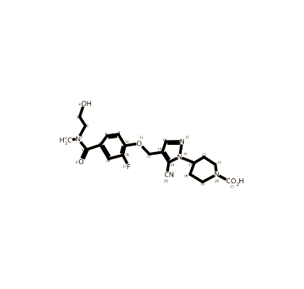 CN(CCO)C(=O)c1ccc(OCc2cnn(C3CCN(C(=O)O)CC3)c2C#N)c(F)c1